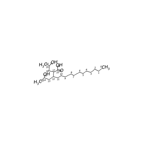 CCCCCCCCCCCCC(CC(C)O)[C](CC(C)O)C(=O)O